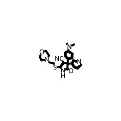 CN(C)c1ccc(C2(c3cccnc3)C(=O)NC(SCCN3CCOCC3)=C2C#N)cc1